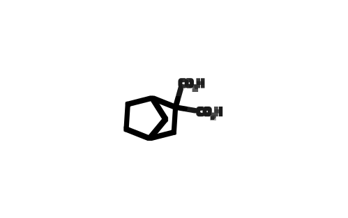 O=C(O)C1(C(=O)O)CC2CCC1C2